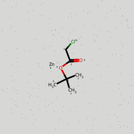 CC(C)(C)OC(=O)CCl.[Zn]